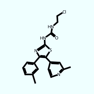 Cc1cccc(-c2nc(NC(=O)NCCCl)sc2-c2ccnc(C)c2)c1